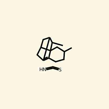 CC1CCC2=C3CC4CC3C(C)C24C1.N=C=S